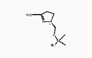 CSC1=N[C@H](CO[Si](C)(C)C(C)(C)C)CC1